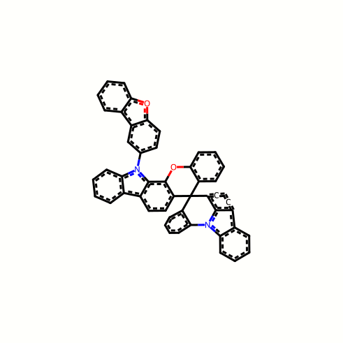 c1ccc2c(c1)Oc1c(ccc3c4ccccc4n(-c4ccc5oc6ccccc6c5c4)c13)C21c2ccccc2-n2c3ccccc3c3cccc1c32